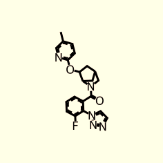 Cc1ccc(OC2CC3CC2N(C(=O)c2cccc(F)c2-n2ccnn2)C3)nc1